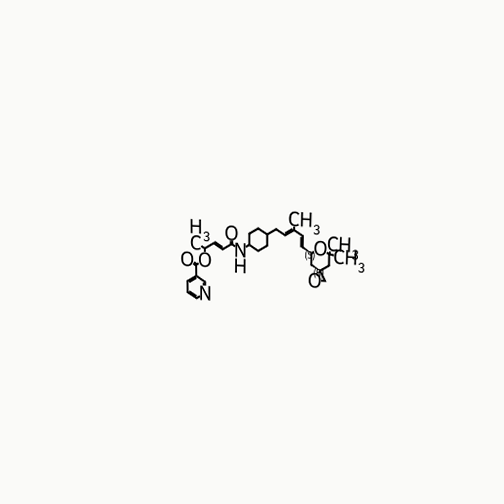 CC(C=C[C@@H]1C[C@]2(CO2)CC(C)(C)O1)=CCC1CCC(NC(=O)C=CC(C)OC(=O)c2cccnc2)CC1